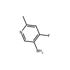 Bc1cnc(C)cc1F